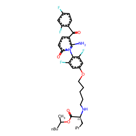 CCCCC(C)OC(=O)[C@H](CC(C)C)NCCCCCOc1cc(F)c(-n2c(N)c(C(=O)c3ccc(F)cc3F)ccc2=O)c(F)c1